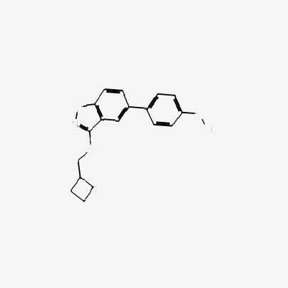 FC(F)(F)Oc1ccc(-c2ccc3onc(OCC4CCC4)c3c2)cc1